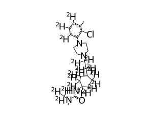 [2H]c1c([2H])c(C)c(Cl)c(N2CCN(C([2H])([2H])C([2H])([2H])[C@]3([2H])C([2H])([2H])C([2H])([2H])[C@@]([2H])(NC(=O)N(C)C([2H])([2H])[2H])C([2H])([2H])C3([2H])[2H])CC2)c1[2H]